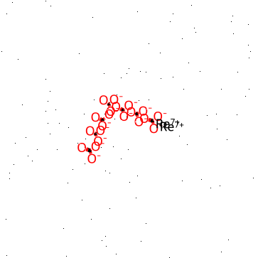 O=C([O-])[O-].O=C([O-])[O-].O=C([O-])[O-].O=C([O-])[O-].O=C([O-])[O-].O=C([O-])[O-].O=C([O-])[O-].[Re+7].[Re+7]